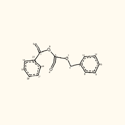 C=C(OC(=O)OCc1ccccc1)c1ccccc1